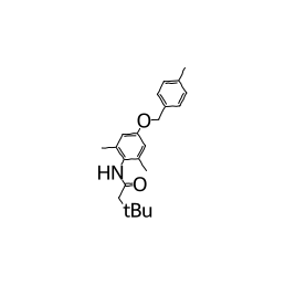 Cc1ccc(COc2cc(C)c(NC(=O)CC(C)(C)C)c(C)c2)cc1